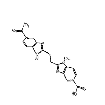 Cn1c(CCc2nc3cc(C(=N)N)ccc3[nH]2)nc2cc(C(=O)O)ccc21